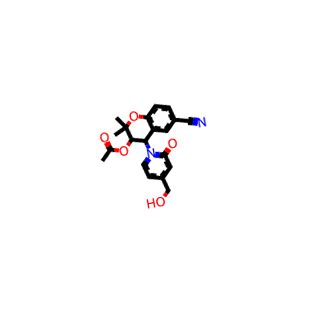 CC(=O)OC1C(n2ccc(CO)cc2=O)c2cc(C#N)ccc2OC1(C)C